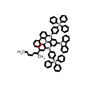 C=C/C=C\C=C(/C)c1ccc2c(c1)N(c1ccc([Si](c3ccccc3)(c3ccccc3)c3ccccc3)cc1)c1cc(-n3c4ccccc4c4ccccc43)cc3c1B2c1c(-c2ccccc2)cccc1N3c1ccc([Si](c2ccccc2)(c2ccccc2)c2ccccc2)cc1